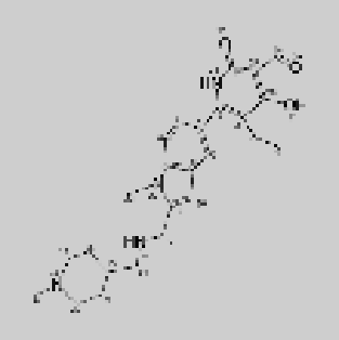 CCc1c(-c2ccc3c(c2)cc(CNCC2CCN(C)CC2)n3C)[nH]c(=O)c(C=O)c1O